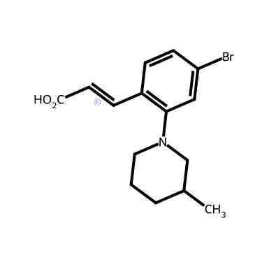 CC1CCCN(c2cc(Br)ccc2/C=C/C(=O)O)C1